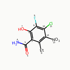 CCc1c(C(N)=O)c(O)c(F)c(Cl)c1[N+](=O)[O-]